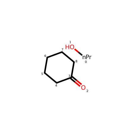 CCCO.O=C1CCCCC1